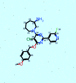 COc1ccc(COc2nc(-c3ccnc(F)c3)nc(N3CCCCC(N)C3)c2Cl)cc1